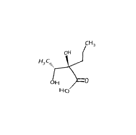 CC[C@](O)(C(=O)O)[C@@H](C)O